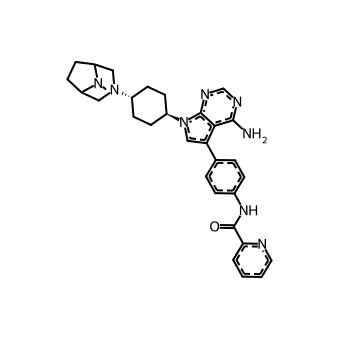 CN1C2CCC1CN([C@H]1CC[C@H](n3cc(-c4ccc(NC(=O)c5ccccn5)cc4)c4c(N)ncnc43)CC1)C2